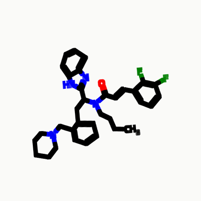 CCCCN(C(=O)C=Cc1cccc(F)c1F)C(Cc1ccccc1CN1CCCCC1)c1nc2ccccc2[nH]1